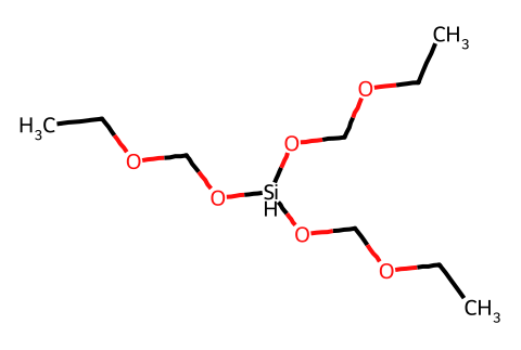 CCOCO[SiH](OCOCC)OCOCC